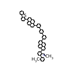 C/C=C/c1c(-c2ccccc2C)cccc1-c1ccc2ccc3c(-c4cccc(-c5ccc(-c6cccc(-c7ccc8ccc9c(-c%10cccc%11c%10sc%10ccccc%10%11)ccc%10ccc7c8c%109)c6)cc5)c4)ccc4ccc1c2c43